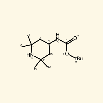 CC1(C)CC(NC(=O)OC(C)(C)C)CC(C)(C)N1